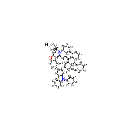 C\C=C/C=c1/oc2ccc(-c3ccc4c(c3)c3ccccc3n4-c3ccccc3)cc2/c1=C1\C=C(c2c3ccccc3c(-c3ccccc3)c3ccccc23)c2ccccc2N1C